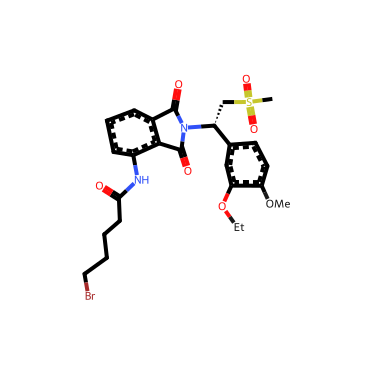 CCOc1cc([C@@H](CS(C)(=O)=O)N2C(=O)c3cccc(NC(=O)CCCCBr)c3C2=O)ccc1OC